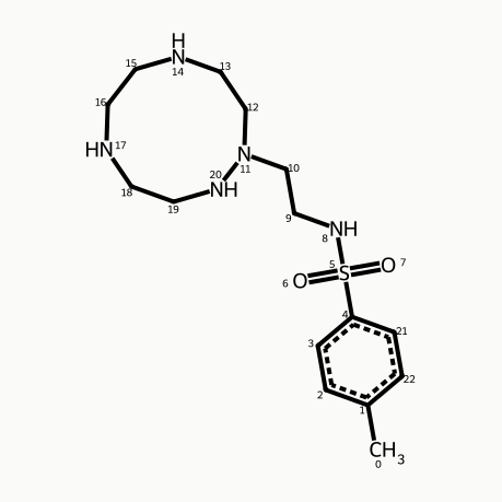 Cc1ccc(S(=O)(=O)NCCN2CCNCCNCCN2)cc1